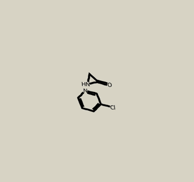 Clc1cccnc1.O=C1CN1